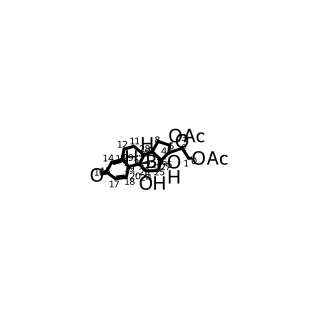 CC(=O)OCC(=O)[C@@]1(O)[C@H](OC(C)=O)C[C@H]2[C@@H]3CCC4=CC(=O)C=C[C@]4(C)[C@@]3(Br)[C@@H](O)C[C@@]21C